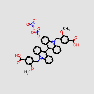 COc1cc(C(=O)O)ccc1C[n+]1c2ccccc2c(-c2c3ccccc3[n+](Cc3ccc(C(=O)O)cc3OC)c3ccccc23)c2ccccc21.O=[N+]([O-])[O-].O=[N+]([O-])[O-]